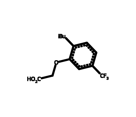 CCC(C)c1ccc(C(F)(F)F)cc1OCC(=O)O